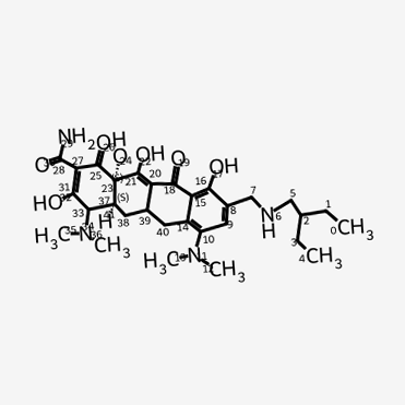 CCC(CC)CNCc1cc(N(C)C)c2c(c1O)C(=O)C1=C(O)[C@]3(O)C(=O)C(C(N)=O)=C(O)C(N(C)C)[C@@H]3CC1C2